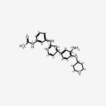 CC(=O)Nc1cccc(Nc2nccc(-c3ccc(OC4CCOCC4)c(N)c3)n2)c1